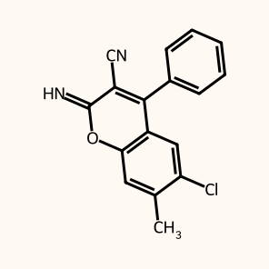 Cc1cc2oc(=N)c(C#N)c(-c3ccccc3)c2cc1Cl